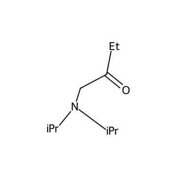 CCC(=O)CN(C(C)C)C(C)C